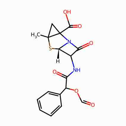 CC12CC1(C(=O)O)N1C(=O)C(NC(=O)C(OC=O)c3ccccc3)[C@@H]1S2